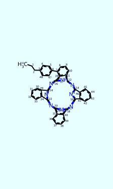 CCCc1ccc(-c2cccc3c4nc5nc(nc6[nH]c(nc7nc(nc([nH]4)c23)-c2ccccc2-7)c2ccccc62)-c2ccccc2-5)cc1